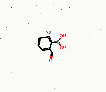 O=Cc1ccccc1B(O)O.[Zn]